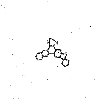 c1ccc2cc3c(cc2c1)c1cc2c(cc1c1nccnc31)sc1ccccc12